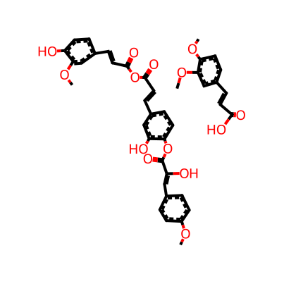 COc1ccc(C=C(O)C(=O)Oc2ccc(C=CC(=O)OC(=O)C=Cc3ccc(O)c(OC)c3)cc2O)cc1.COc1ccc(C=CC(=O)O)cc1OC